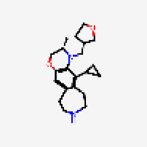 C[C@@H]1COc2cc3c(c(C4CC4)c2N1C[C@H]1CCOC1)CCNCC3